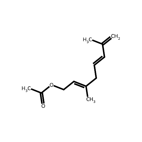 C=C(C)C=CCC(C)=CCOC(C)=O